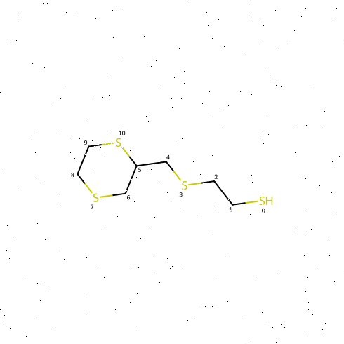 SCCSCC1CSCCS1